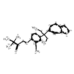 CCC(CC)(c1ccc(OCC(=O)C(C)(C)C)c(C)c1)c1ccc2ccsc2c1